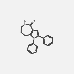 O=C1NCCCc2c1cc(-c1ccccc1)n2-c1ccccc1